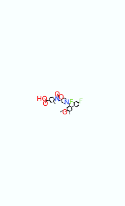 CCOc1cc(CN2CCC3(CC2)CN(c2ccc(C(=O)O)cc2C)C(=O)O3)c(-c2ccc(F)cc2F)cc1C